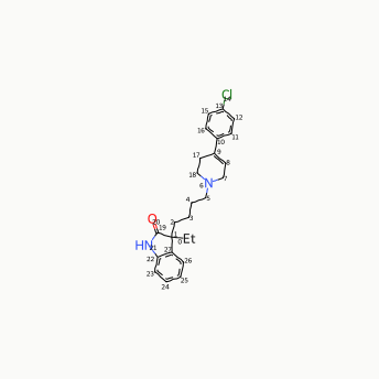 CCC1(CCCCN2CC=C(c3ccc(Cl)cc3)CC2)C(=O)Nc2ccccc21